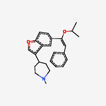 CC(C)OC(=Cc1ccccc1)c1ccc2occ(C3CCN(C)CC3)c2c1